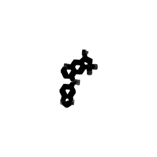 O=S1(=O)C=C(Br)c2cc3nccc(Nc4ccc5scnc5c4)c3cc21